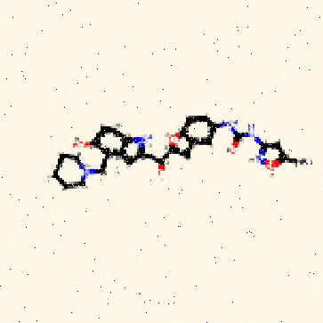 CC(C)(C)c1cc(NC(=O)Nc2ccc3oc(C(=O)c4cc5c(CN6CCCCC6)c(O)ccc5[nH]4)cc3c2)no1